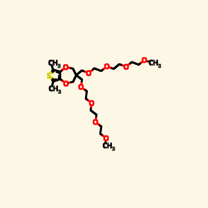 COCCOCCOCCOCC1(COCCOCCOCCOC)COc2c(C)sc(C)c2OC1